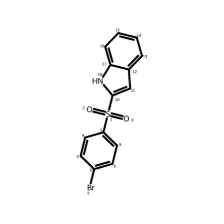 O=S(=O)(c1ccc(Br)cc1)c1cc2ccccc2[nH]1